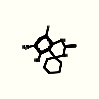 Nc1cc(F)c2c(c1O)C1(CCCCC1)NC(=O)N2